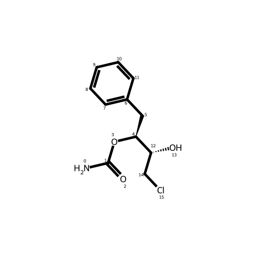 NC(=O)O[C@@H](Cc1ccccc1)[C@H](O)CCl